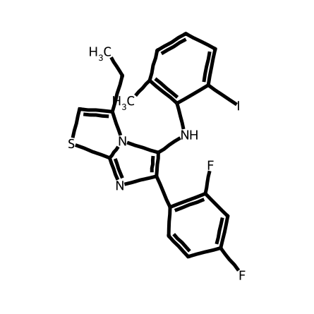 CCc1csc2nc(-c3ccc(F)cc3F)c(Nc3c(C)cccc3I)n12